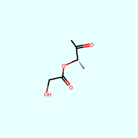 CC(=O)[C@H](C)OC(=O)CO